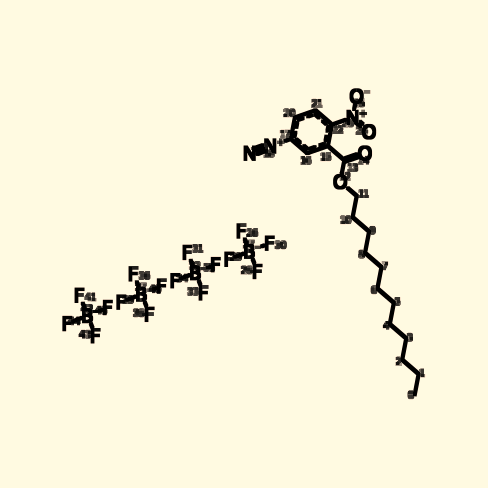 CCCCCCCCCCCCOC(=O)c1cc([N+]#N)ccc1[N+](=O)[O-].F[B-](F)(F)F.F[B-](F)(F)F.F[B-](F)(F)F.F[B-](F)(F)F